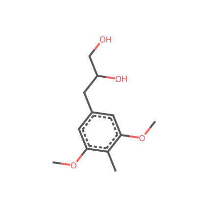 COc1cc(CC(O)CO)cc(OC)c1C